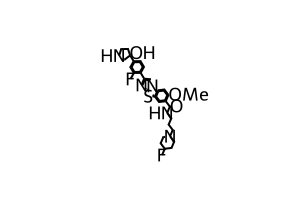 COc1cc2c(cc1C(=O)NCCCN1CCC(F)CC1)sc1nc(-c3ccc(C4(O)CCNC4)cc3F)cn12